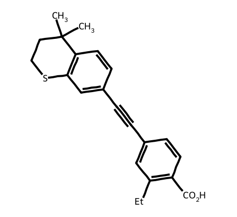 CCc1cc(C#Cc2ccc3c(c2)SCCC3(C)C)ccc1C(=O)O